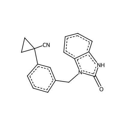 N#CC1(c2cccc(Cn3c(=O)[nH]c4ccccc43)c2)CC1